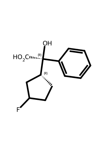 O=C(O)[C@](O)(c1ccccc1)[C@@H]1CCC(F)C1